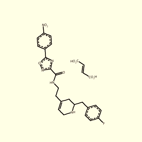 O=C(NCCC1=CCNC(Cc2ccc(F)cc2)C1)c1noc(-c2ccc([N+](=O)[O-])cc2)n1.O=C(O)/C=C/C(=O)O